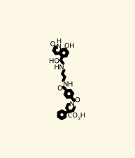 O=C(NCCCCNC[C@H](O)c1ccc(O)c2[nH]c(=O)ccc12)c1ccc(C(=O)N2CCC(C(=O)O)(c3ccccc3)CC2)cc1